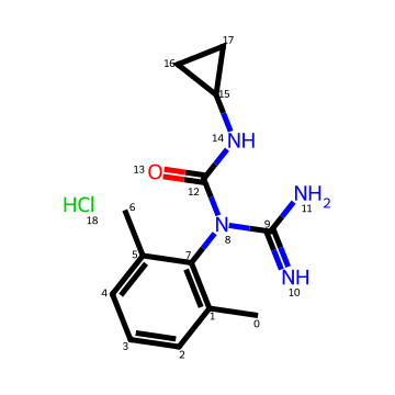 Cc1cccc(C)c1N(C(=N)N)C(=O)NC1CC1.Cl